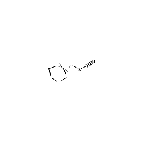 N#CSC[C@@H]1COCCO1